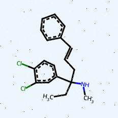 CCC(CC=Cc1ccccc1)(NC)c1ccc(Cl)c(Cl)c1